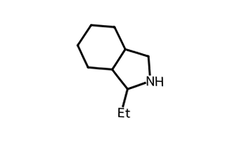 CCC1NCC2CCCCC21